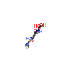 O=C(CCCCCN1CCCCC1)NCCCCCCCC(=O)NCCCCC(O)CO